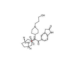 O=C1Cc2cc(C(=O)NC3C[C@H]4CC[C@@H](C3)N4S(=O)(=O)CC3CCN(CCCO)CC3)ccc2N1